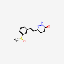 C[S+]([O-])c1cccc(/C=C/C2CCC(=O)NN2)c1